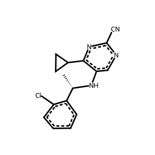 C[C@H](Nc1cnc(C#N)nc1C1CC1)c1ccccc1Cl